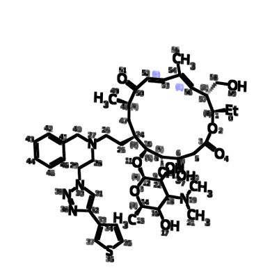 CC[C@H]1OC(=O)C[C@@H](O)[C@H](C)[C@@H](O[C@@H]2O[C@H](C)C(O)C(N(C)C)C2O)[C@@H](CCN(CCn2cc(-c3ccsc3)nn2)Cc2ccccc2)C[C@@H](C)C(=O)/C=C/C(C)=C/[C@@H]1CO